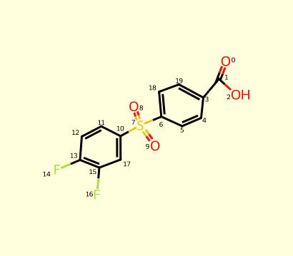 O=C(O)c1ccc(S(=O)(=O)c2ccc(F)c(F)c2)cc1